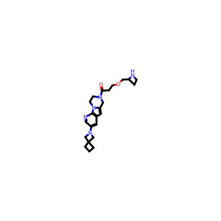 O=C(CCOCC1CCN1)N1CCn2c(cc3cc(N4CC5(CCC5)C4)cnc32)C1